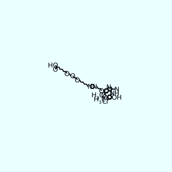 COc1cc(Nc2c(C#N)cnc3cc(OCCCN4CCN(CCCCCCOCCOCCOCCCCCC(=O)O)CC4)c(OC)cc23)c(O)cc1Cl